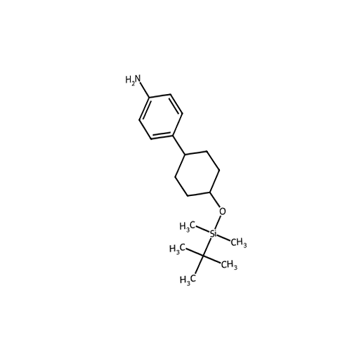 CC(C)(C)[Si](C)(C)OC1CCC(c2ccc(N)cc2)CC1